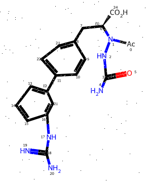 CC(=O)N(NC(N)=O)[C@@H](Cc1ccc(-c2cccc(NC(=N)N)c2)cc1)C(=O)O